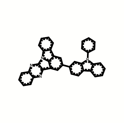 c1ccc(-n2c3ccccc3c3ccc(-c4cc5c6ccccc6n6c7nc8ccccc8nc7c(c4)c56)cc32)cc1